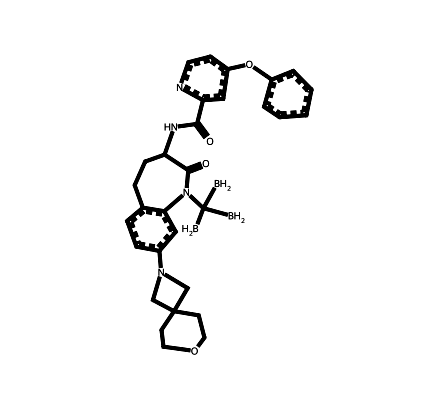 BC(B)(B)N1C(=O)C(NC(=O)c2cc(Oc3ccccc3)ccn2)CCc2ccc(N3CC4(CCOCC4)C3)cc21